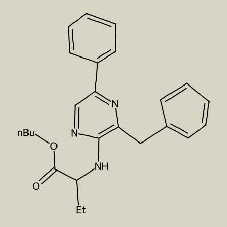 CCCCOC(=O)C(CC)Nc1ncc(-c2ccccc2)nc1Cc1ccccc1